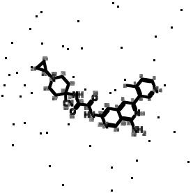 Cc1ccncc1-c1cc2cc(NC(=O)C(=O)NC3(C#N)CCN(C4CC4)CC3)ncc2c(N)n1